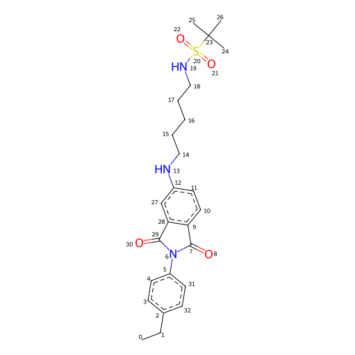 CCc1ccc(N2C(=O)c3ccc(NCCCCCNS(=O)(=O)C(C)(C)C)cc3C2=O)cc1